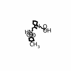 Cc1ccc(S(=O)(=O)NCCc2cn(CCC(=O)O)c3ccccc23)cc1